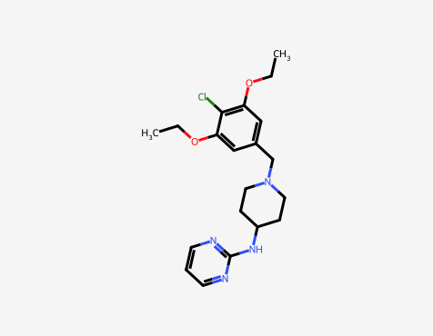 CCOc1cc(CN2CCC(Nc3ncccn3)CC2)cc(OCC)c1Cl